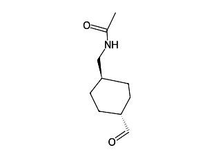 CC(=O)NC[C@H]1CC[C@H](C=O)CC1